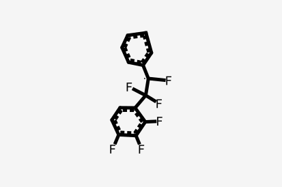 F[C](c1ccccc1)C(F)(F)c1ccc(F)c(F)c1F